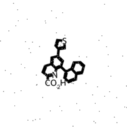 O=C(O)c1ccc2cc(-c3ccsc3)cc(-c3cccc4ccccc34)c2n1